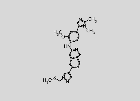 COc1cc(-c2cnc(C)n2C)ccc1Nc1cc2cc(-c3cnn(CSC)c3)ccc2cn1